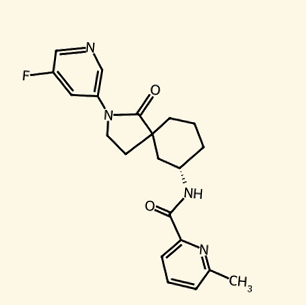 Cc1cccc(C(=O)N[C@H]2CCCC3(CCN(c4cncc(F)c4)C3=O)C2)n1